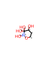 OC1CCON(O)C1(O)O